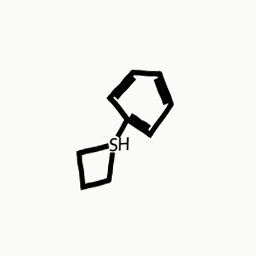 c1ccc([SH]2CCC2)cc1